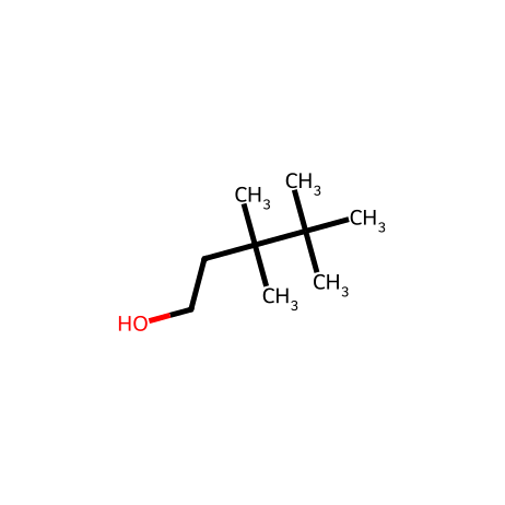 CC(C)(C)C(C)(C)CCO